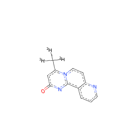 [2H]C([2H])([2H])c1cc(=O)nc2c3cccnc3ccn12